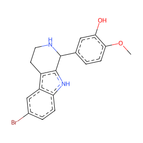 COc1ccc(C2NCCc3c2[nH]c2ccc(Br)cc32)cc1O